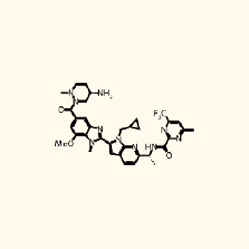 COc1cc(C(=O)N2C[C@H](N)CCN2C)cc2nc(-c3cc4ccc([C@@H](C)NC(=O)c5nc(C)cc(C(F)(F)F)n5)nc4n3CC3CC3)n(C)c12